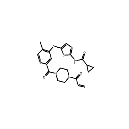 C=CC(=O)N1CCN(C(=O)c2cc(Sc3cnc(NC(=O)C4CC4)s3)c(C)cn2)CC1